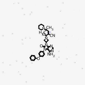 CC(C)(/C=C(/C#N)C(=O)N1CC(n2c(=O)n(-c3ccc(Oc4ccccc4)cc3)c3c(N)ncnc32)C1)N1CCCCC1